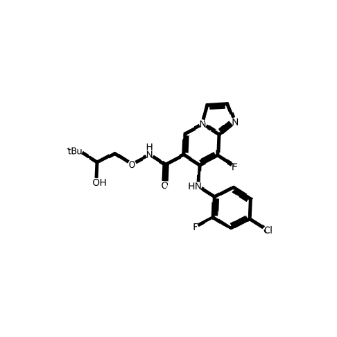 CC(C)(C)C(O)CONC(=O)c1cn2ccnc2c(F)c1Nc1ccc(Cl)cc1F